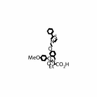 CCC(C(=O)O)N(Cc1ccc(OCCN2C=CSC(C3=CC=CCC3)=C2)cc1)C(=O)Oc1ccc(OC)cc1